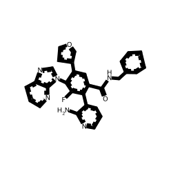 Nc1ncccc1-c1c(C(=O)NCc2ccccc2)cc(-c2ccoc2)c(-n2cnc3cccnc32)c1F